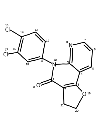 O=c1c2c(c3cccnc3n1-c1ccc(Cl)c(Cl)c1)OCC2